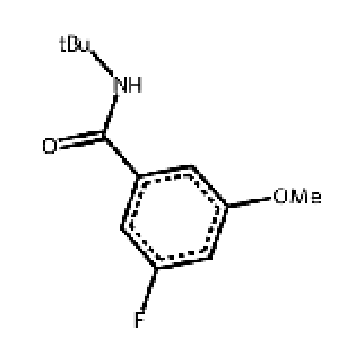 COc1cc(F)cc(C(=O)NC(C)(C)C)c1